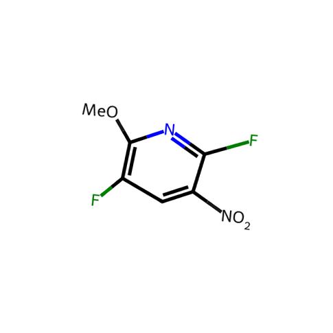 COc1nc(F)c([N+](=O)[O-])cc1F